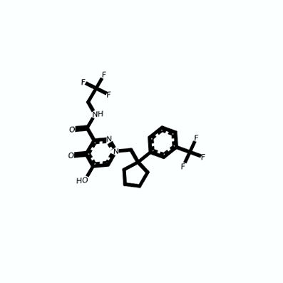 O=C(NCC(F)(F)F)c1nn(CC2(c3cccc(C(F)(F)F)c3)CCCC2)cc(O)c1=O